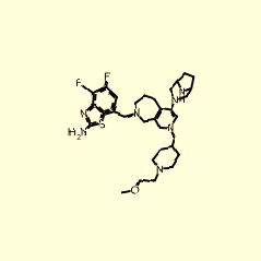 COCCN1CCC(CN2C=C(N3CC4CCC(C3)N4)C3=C(C2)CN(Cc2cc(F)c(F)c4nc(N)sc24)CCC3)CC1